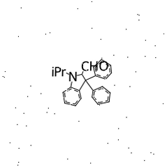 CC(C)N1c2ccccc2C(c2ccccc2)(c2ccccc2)C1C=O